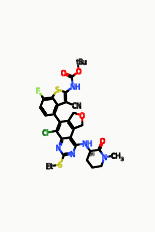 CCSc1nc(N[C@@H]2CCCN(C)C2=O)c2c3c(c(-c4ccc(F)c5sc(NC(=O)OC(C)(C)C)c(C#N)c45)c(Cl)c2n1)COC3